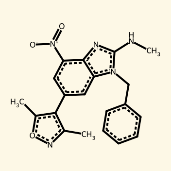 CNc1nc2c([N+](=O)[O-])cc(-c3c(C)noc3C)cc2n1Cc1ccccc1